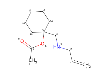 C=CCNCC1(OC(C)=O)CCCCC1